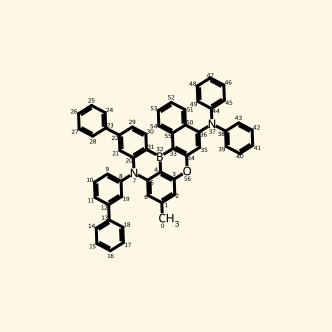 Cc1cc2c3c(c1)N(c1cccc(-c4ccccc4)c1)c1cc(-c4ccccc4)ccc1B3c1c(cc(N(c3ccccc3)c3ccccc3)c3ccccc13)O2